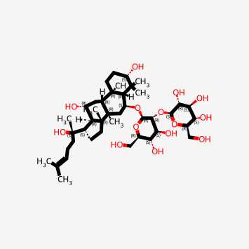 CC(C)=CCC[C@](C)(O)[C@H]1CC[C@]2(C)[C@@H]1[C@H](O)C[C@@H]1[C@@]3(C)CC[C@H](O)C(C)(C)[C@@H]3[C@@H](O[C@@H]3O[C@H](CO)[C@@H](O)[C@H](O)[C@H]3O[C@@H]3O[C@H](CO)[C@@H](O)[C@H](O)[C@H]3O)C[C@]12C